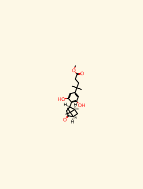 COC(=O)CCC(C)(C)c1cc(O)c([C@@H]2CC(=O)[C@@H]3C[C@H]2C3(C)C)c(O)c1